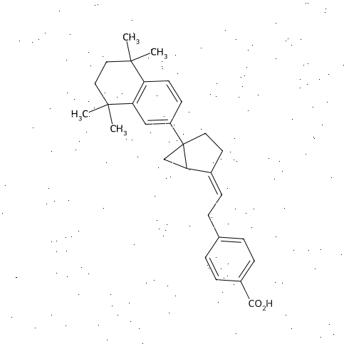 CC1(C)CCC(C)(C)c2cc(C34CC/C(=C/Cc5ccc(C(=O)O)cc5)C3C4)ccc21